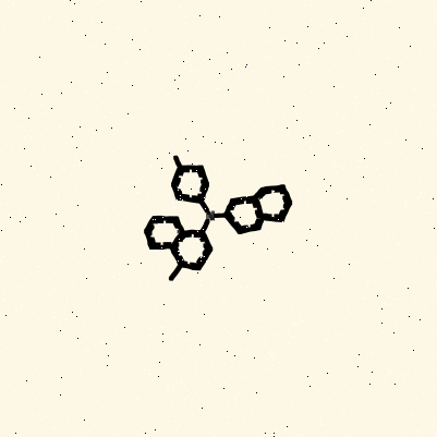 Cc1ccc(N(c2ccc3ccccc3c2)c2ccc(C)c3ccccc23)cc1